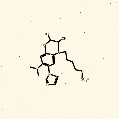 CN(C)c1cc2c(cc1-n1ccnc1)N(CCCCOS(=O)(=O)O)C(O)C(O)N2